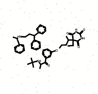 CC(NC(C)(C)C)C(=O)c1cccc(Cl)c1.CC(NCCC(c1ccccc1)c1ccccc1)c1ccccc1.CCCC(C)C1(CC)C(=O)NC(=O)NC1=O